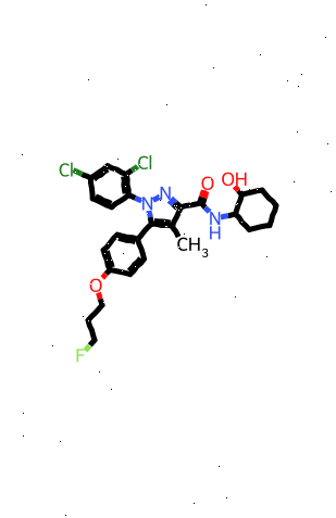 Cc1c(C(=O)NC2CCCCC2O)nn(-c2ccc(Cl)cc2Cl)c1-c1ccc(OCCCF)cc1